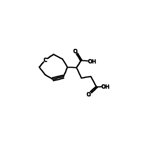 O=C(O)CCC(C(=O)O)C1C#CCCCCC1